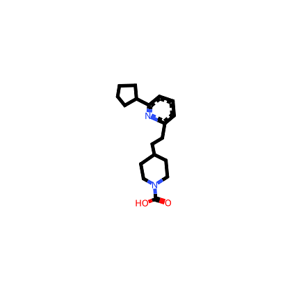 O=C(O)N1CCC(CCc2cccc(C3CCCC3)n2)CC1